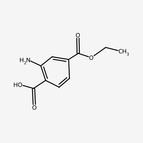 CCOC(=O)c1ccc(C(=O)O)c(N)c1